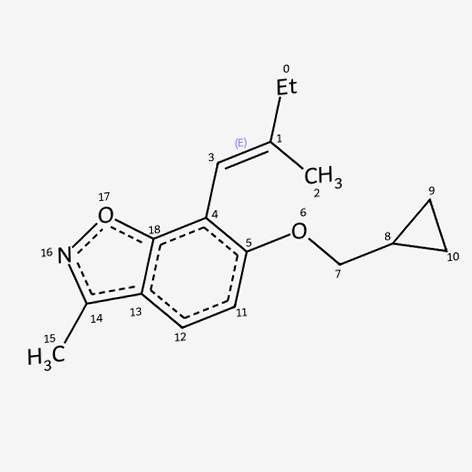 CC/C(C)=C/c1c(OCC2CC2)ccc2c(C)noc12